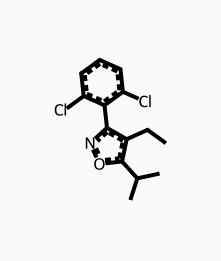 CCc1c(-c2c(Cl)cccc2Cl)noc1C(C)C